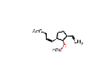 C=C[C@@H]1CC[C@H](/C=C\COC(C)=O)[C@@H]1OCCCC